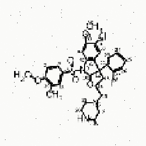 COc1ccc(S(=O)(=O)N2C(=O)C(CCCN3CCNCC3)(c3ccccc3F)c3cc(Cl)c(OC)cc32)cc1C